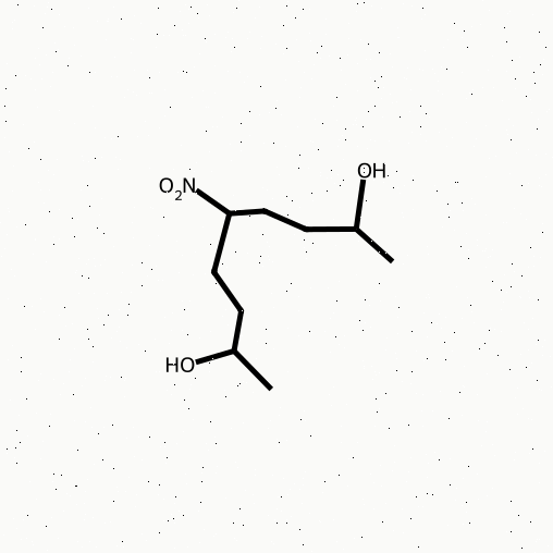 CC(O)CCC(CCC(C)O)[N+](=O)[O-]